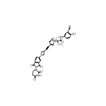 CC(C)(C(=O)Nc1ccc(Cl)c(C#N)c1)n1cc(C#CC2CN(c3ccc4c(c3)C(=O)N(C3CCC(=O)NC3=O)C4=O)C2)cn1